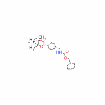 CC1(C)OB(c2ccc(CNC(=O)OCc3ccccc3)cc2)OC1(C)C